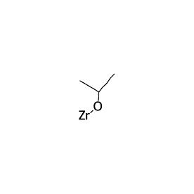 CC(C)[O][Zr]